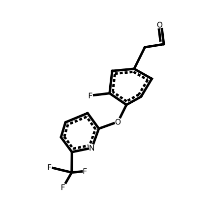 O=CCc1ccc(Oc2cccc(C(F)(F)F)n2)c(F)c1